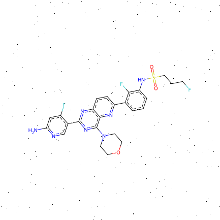 Nc1cc(F)c(-c2nc(N3CCOCC3)c3nc(-c4cccc(NS(=O)(=O)CCCF)c4F)ccc3n2)cn1